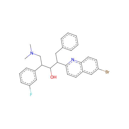 CN(C)CC(c1cccc(F)c1)C(O)C(Cc1ccccc1)c1ccc2cc(Br)ccc2n1